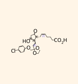 O=C(O)CCC/C=C\C[C@H]1C(=O)C[C@@H](O)[C@@H]1/C=C/C1(COc2ccc(Cl)cc2)OCCO1